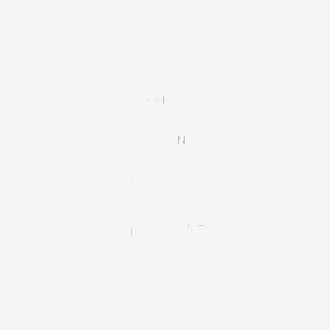 C=C(O)c1ccc(O)nc1